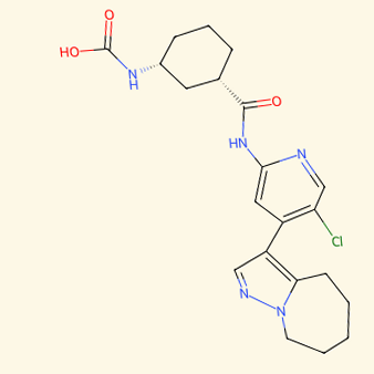 O=C(O)N[C@@H]1CCC[C@H](C(=O)Nc2cc(-c3cnn4c3CCCCC4)c(Cl)cn2)C1